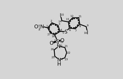 O=[N+]([O-])c1ccc(Sc2cc(CI)ccc2CI)c(S(=O)(=O)N2CCCNCC2)c1